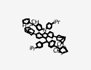 CC(C)c1ccc(C(c2ccc(C(C)(C)c3ccccc3)cc2)c2c3cc(C45CC6CC(CC(C6)C4)C5)ccc3c(N(c3ccc(C(C)C)cc3)c3ccc(C(C)(C)c4ccccc4)cc3)c3cc(C45CC6CC(CC(C6)C4)C5)ccc23)cc1